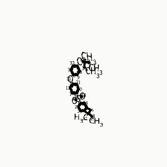 CCC(C)(CC)Oc1ccc(Oc2ccc(S(=O)(=O)c3ccc4c(c3)CC4(C)CC)cc2)cc1